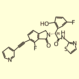 O=C(Nc1nccs1)[C@@H](c1cc(F)ccc1O)N1Cc2ccc(C#Cc3cccnc3)c(F)c2C1=O